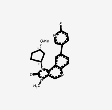 CO[C@H]1CC[C@H](n2c(=O)n(C)c3cnc4ccc(-c5ccc(F)nc5)cc4c32)C1